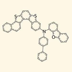 c1ccc(-c2ccc(N(c3ccc4c(c3)sc3ccc5sc6c7ccccc7ccc6c5c34)c3cccc4c3oc3ccccc34)cc2)cc1